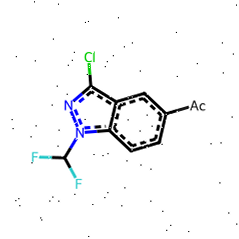 CC(=O)c1ccc2c(c1)c(Cl)nn2C(F)F